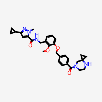 COc1c(CNC(=O)c2cc(C3CC3)nn2C)cccc1OCc1ccc(C(=O)N2CCNC3(CC3)C2)cc1